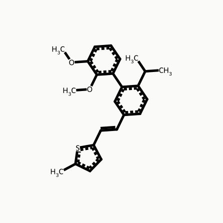 COc1cccc(-c2cc(C=Cc3ccc(C)s3)ccc2C(C)C)c1OC